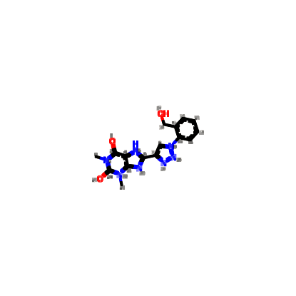 Cn1c(=O)c2[nH]c(-c3cn(-c4ccccc4CO)nn3)nc2n(C)c1=O